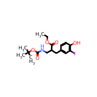 CCOC(=O)C(CNC(=O)OC(C)(C)C)Cc1ccc(O)c(I)c1